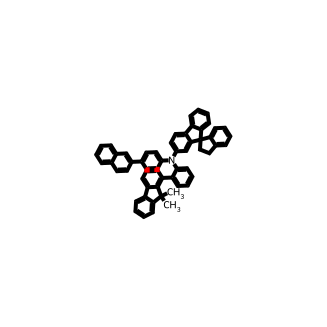 CC1(C)c2ccccc2-c2cccc(-c3ccccc3N(c3ccc(-c4ccc5ccccc5c4)cc3)c3ccc4c(c3)C3(CCc5ccccc53)c3ccccc3-4)c21